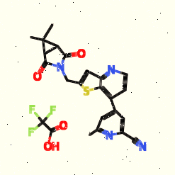 Cc1cc(-c2ccnc3cc(CN4C(=O)C5C(C4=O)C5(C)C)sc23)cc(C#N)n1.O=C(O)C(F)(F)F